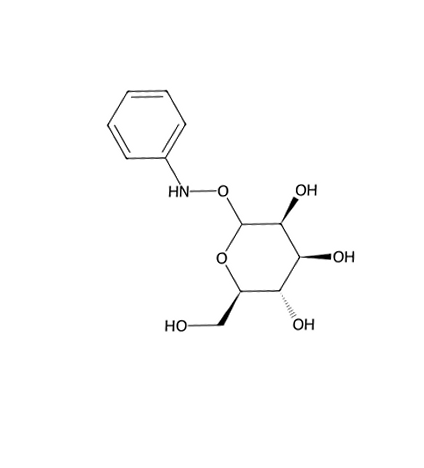 OC[C@H]1OC(ONc2ccccc2)[C@@H](O)[C@@H](O)[C@@H]1O